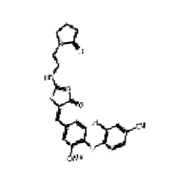 COc1cc(C=C2SC(NCCN3CCCC3=O)=NC2=O)ccc1Oc1ccc(C#N)cc1Cl